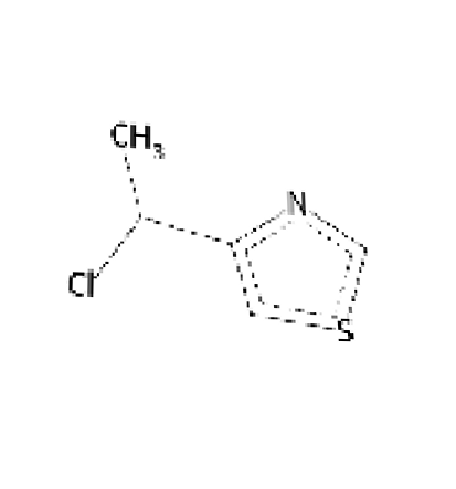 CC(Cl)c1cscn1